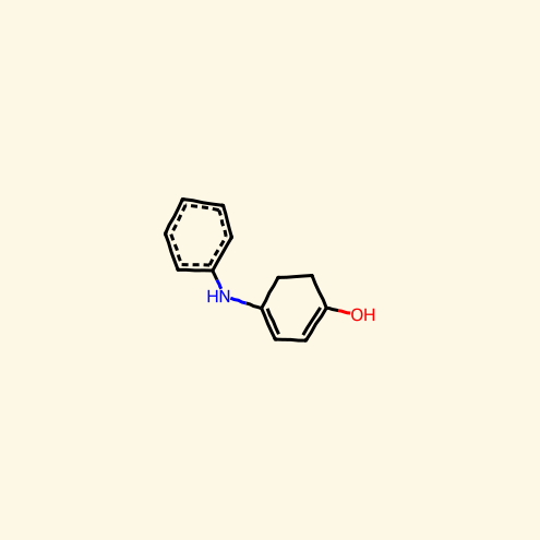 OC1=CC=C(Nc2ccccc2)CC1